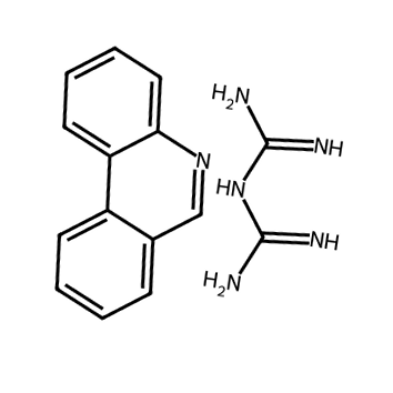 N=C(N)NC(=N)N.c1ccc2c(c1)cnc1ccccc12